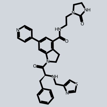 O=C(NCCN1CCNC1=O)c1cc(-c2ccncc2)cc2c1CCN2C(=O)[C@H](Cc1ccccc1)NCc1cscn1